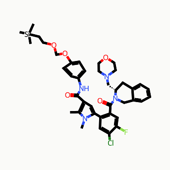 Cc1c(C(=O)Nc2ccc(OCOCC[Si](C)(C)C)cc2)cc(-c2cc(Cl)c(F)cc2C(=O)N2Cc3ccccc3C[C@H]2CN2CCOCC2)n1C